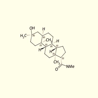 CNC(=O)[C@H]1CC[C@H]2[C@@H]3CC[C@@H]4C[C@](C)(O)CC[C@]4(C)[C@H]3CC[C@]12C